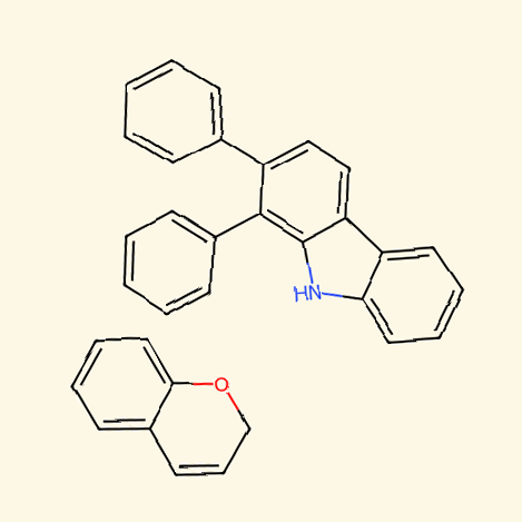 C1=Cc2ccccc2OC1.c1ccc(-c2ccc3c([nH]c4ccccc43)c2-c2ccccc2)cc1